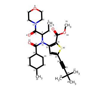 CCC(C(=O)N1CCOCC1)N(C(=O)C1CCC(C)CC1)c1cc(C#CC(C)(C)C)sc1C(=O)OC